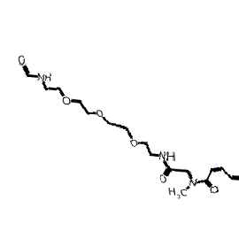 CN(CC(=O)NCCOCCOCCOCCNC=O)C(=O)/C=C\C=O